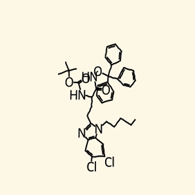 CCCCCn1c(CCC(NC(=O)OC(C)(C)C)C(=O)NOC(c2ccccc2)(c2ccccc2)c2ccccc2)nc2cc(Cl)c(Cl)cc21